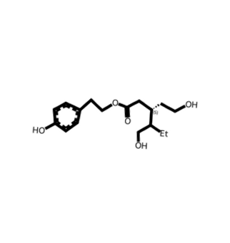 CCC(CO)[C@@H](CCO)CC(=O)OCCc1ccc(O)cc1